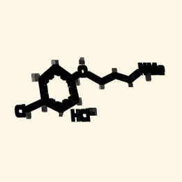 CNCCCOc1ccc(Cl)cc1.Cl